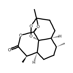 C[C@@H]1CC[C@H]2[C@@H](C)C(=O)OC3(C)OC4(C)CC[C@@H]1[C@@]23OO4